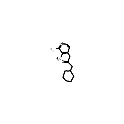 Cc1nccc(CC(=O)CC2CCCCC2)c1C